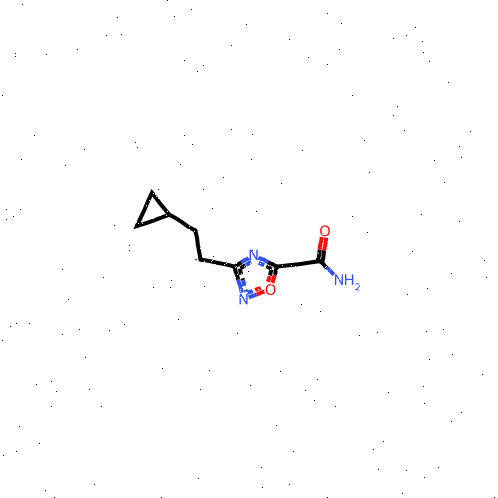 NC(=O)c1nc([CH]CC2CC2)no1